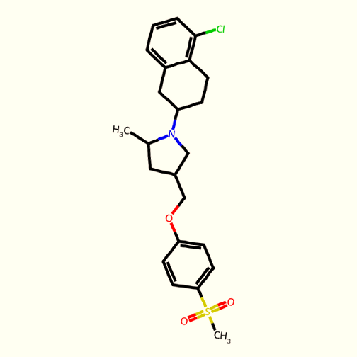 CC1CC(COc2ccc(S(C)(=O)=O)cc2)CN1C1CCc2c(Cl)cccc2C1